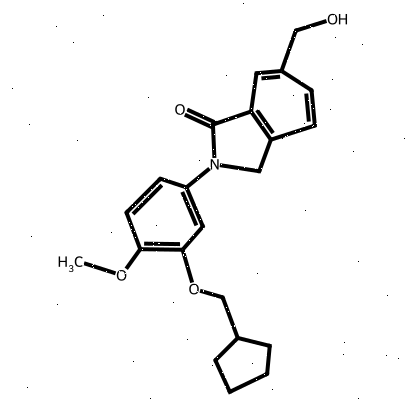 COc1ccc(N2Cc3ccc(CO)cc3C2=O)cc1OCC1CCCC1